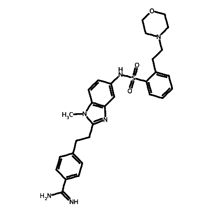 Cn1c(CCc2ccc(C(=N)N)cc2)nc2cc(NS(=O)(=O)c3ccccc3CCN3CCOCC3)ccc21